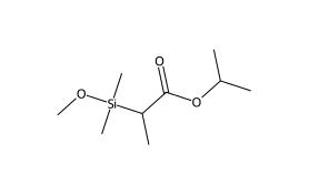 CO[Si](C)(C)C(C)C(=O)OC(C)C